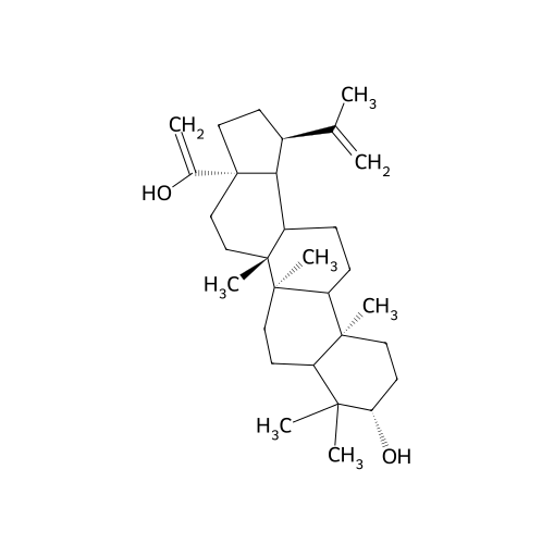 C=C(C)[C@@H]1CC[C@]2(C(=C)O)CC[C@]3(C)C(CCC4[C@@]5(C)CC[C@H](O)C(C)(C)C5CC[C@]43C)C12